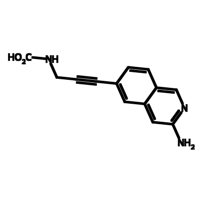 Nc1cc2cc(C#CCNC(=O)O)ccc2cn1